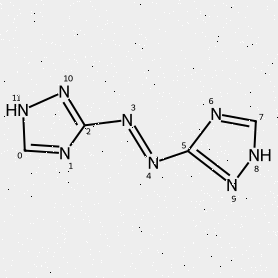 c1nc(N=Nc2nc[nH]n2)n[nH]1